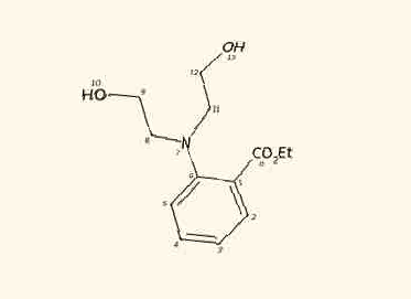 CCOC(=O)c1ccccc1N(CCO)CCO